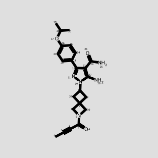 CC#CC(=O)N1CC2(CC(n3nc(-c4ccc(OC(C)C)cc4)c(C(N)=O)c3N)C2)C1